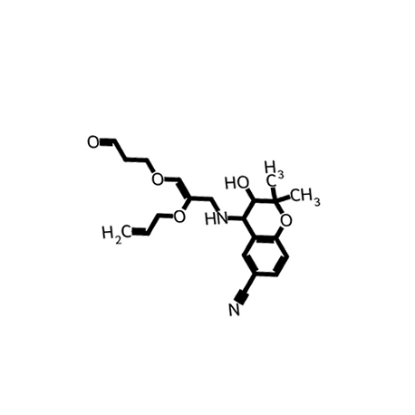 C=CCO/C(=C\OCCC=O)CNC1c2cc(C#N)ccc2OC(C)(C)C1O